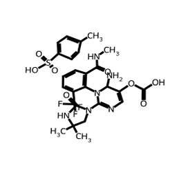 CNC(=O)c1cccc(C(F)(F)F)c1N1C(N2CC(C)(C)NC2=O)=NC=C(OC(=O)O)C1N.Cc1ccc(S(=O)(=O)O)cc1